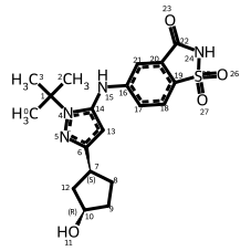 CC(C)(C)n1nc([C@H]2CC[C@@H](O)C2)cc1Nc1ccc2c(c1)C(=O)NS2(=O)=O